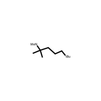 CNC(C)(C)CCCC(C)(C)C